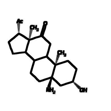 CC(=O)[C@H]1CCC2C3CC[C@@]4(N)C[C@@H](O)CC[C@]4(C)C3CC(=O)[C@@]21C